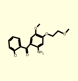 COCCOc1cc(N)c(C(=O)c2ccccc2Cl)cc1OC